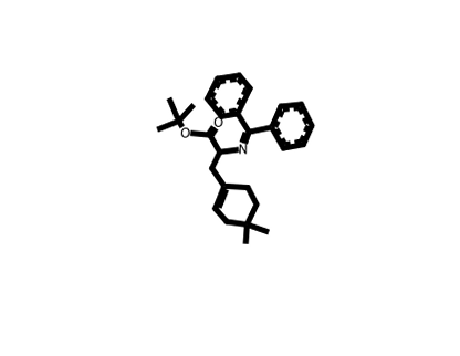 CC1(C)CC=C(CC(N=C(c2ccccc2)c2ccccc2)C(=O)OC(C)(C)C)CC1